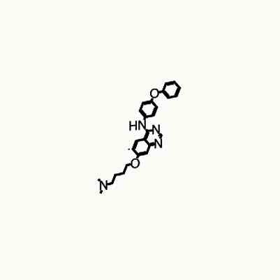 CN(C)CCCCOc1[c]cc2c(Nc3ccc(Oc4ccccc4)cc3)ncnc2c1